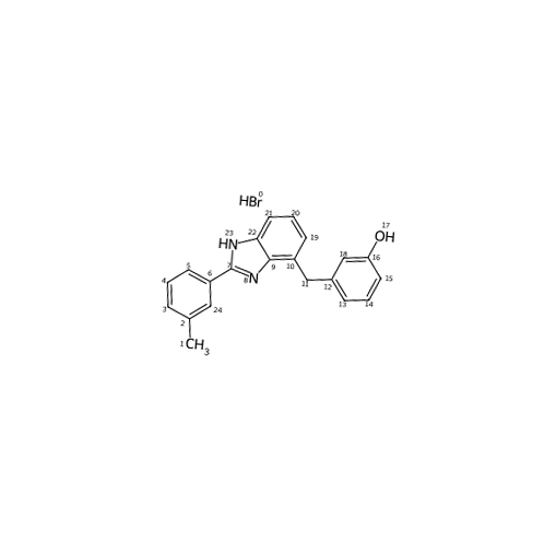 Br.Cc1cccc(-c2nc3c(Cc4cccc(O)c4)cccc3[nH]2)c1